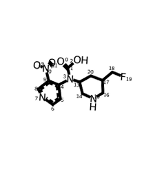 O=C(O)N(c1ccncc1[N+](=O)[O-])C1CNCC(CF)C1